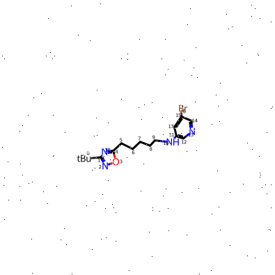 CC(C)(C)c1noc(CCCCCNc2cncc(Br)c2)n1